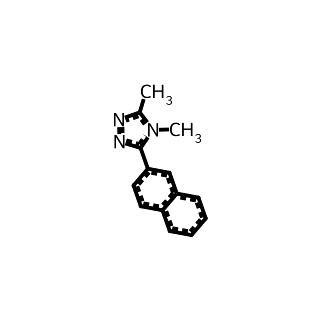 Cc1nnc(-c2ccc3ccccc3c2)n1C